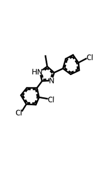 Cc1[nH]c(-c2ccc(Cl)cc2Cl)nc1-c1ccc(Cl)cc1